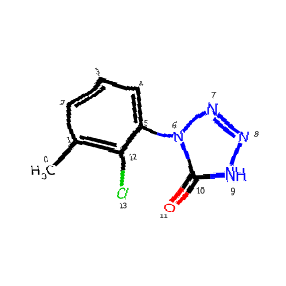 Cc1cccc(-n2nn[nH]c2=O)c1Cl